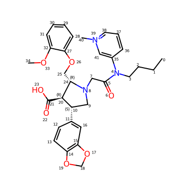 CCCCN(C(=O)CN1C[C@H](c2ccc3c(c2)OCO3)[C@@H](C(=O)O)[C@@H]1COc1ccccc1OC)c1ccc[n+](C)c1